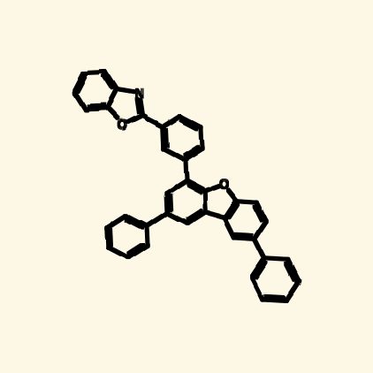 c1ccc(-c2ccc3oc4c(-c5cccc(-c6nc7ccccc7o6)c5)cc(-c5ccccc5)cc4c3c2)cc1